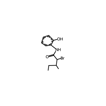 CCC(C)C(Br)C(=O)Nc1ccccc1O